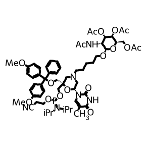 COc1ccc(C(OC[C@]2(COP(OCCC#N)N(C(C)C)C(C)C)CN(CCCCCO[C@@H]3O[C@H](COC(C)=O)[C@H](OC(C)=O)[C@H](OC(C)=O)[C@H]3NC(C)=O)C[C@H](n3cc(C)c(=O)[nH]c3=O)O2)(c2ccccc2)c2ccc(OC)cc2)cc1